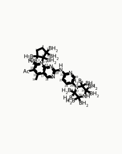 BC1(B)CCC(B)(B)C1(B)n1c(=O)c(C(C)=O)c(C)c2cnc(Nc3ccc(N4C(B)(B)C(B)(B)NC(B)(B)C4(B)B)cn3)nc21